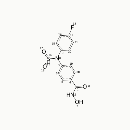 O=C(NO)c1ccc(N(c2ccc(F)cc2)[SH](=O)=O)cc1